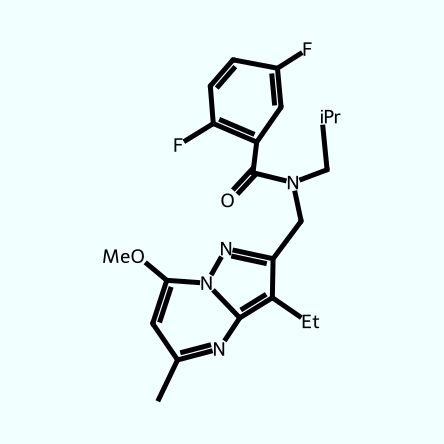 CCc1c(CN(CC(C)C)C(=O)c2cc(F)ccc2F)nn2c(OC)cc(C)nc12